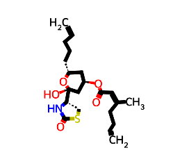 C=CCCC[C@@H]1C[C@@H](OC(=O)/C=C(/C)CCC=C)C[C@](O)([C@@H]2CSC(=O)N2)O1